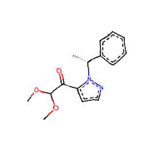 COC(OC)C(=O)c1ccnn1[C@H](C)c1ccccc1